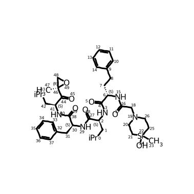 CC(C)C[C@H](NC(=O)[C@H](CCc1ccccc1)NC(=O)CN1CC[Si](C)(O)CC1)C(=O)N[C@@H](Cc1ccccc1)C(=O)N[C@@H](CC(C)C)C(=O)[C@@]1(C)CO1